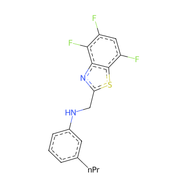 CCCc1cccc(NCc2nc3c(F)c(F)cc(F)c3s2)c1